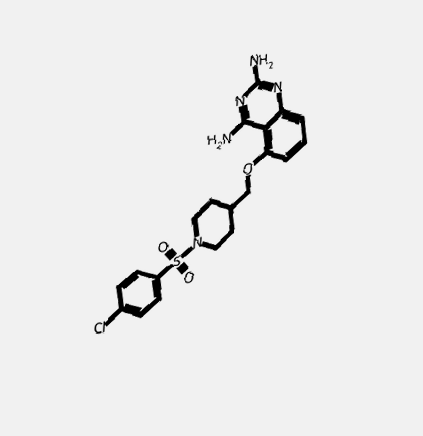 Nc1nc(N)c2c(OCC3CCN(S(=O)(=O)c4ccc(Cl)cc4)CC3)cccc2n1